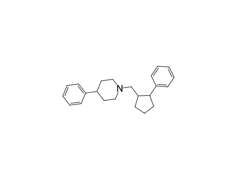 c1ccc(C2CCN(CC3CCCC3c3ccccc3)CC2)cc1